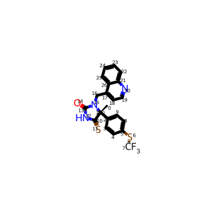 C[C@@]1(c2ccc(SC(F)(F)F)cc2)C(=S)NC(=O)N1Cc1ccnc2ccccc12